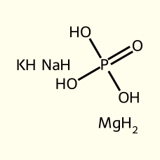 O=P(O)(O)O.[KH].[MgH2].[NaH]